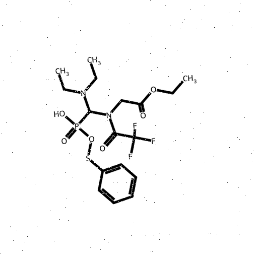 CCOC(=O)CN(C(=O)C(F)(F)F)C(N(CC)CC)P(=O)(O)OSc1ccccc1